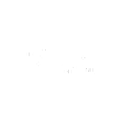 CS(=O)(=O)C1CCC(O)(COC(N)=O)CC1